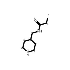 O=C(CI)NCC1CCNCC1